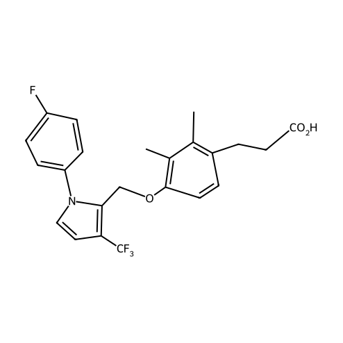 Cc1c(CCC(=O)O)ccc(OCc2c(C(F)(F)F)ccn2-c2ccc(F)cc2)c1C